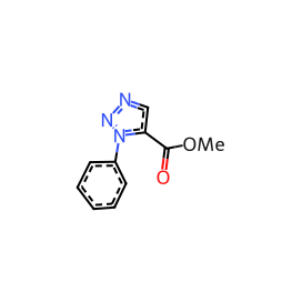 COC(=O)c1cnnn1-c1ccccc1